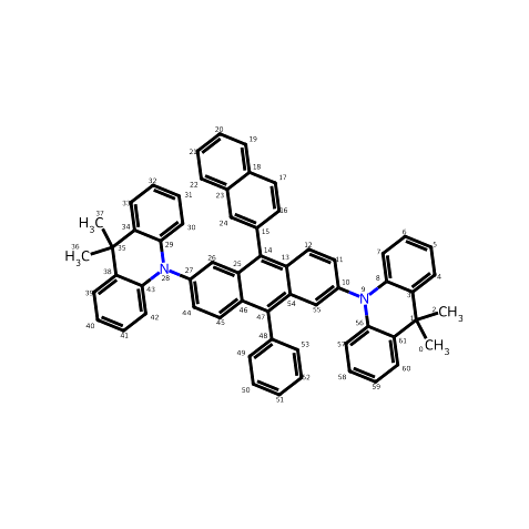 CC1(C)c2ccccc2N(c2ccc3c(-c4ccc5ccccc5c4)c4cc(N5c6ccccc6C(C)(C)c6ccccc65)ccc4c(-c4ccccc4)c3c2)c2ccccc21